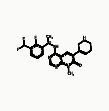 C[C@@H](Nc1ncnc2c1cc(C1=CCCNC1)c(=O)n2C)c1cccc(C(F)F)c1F